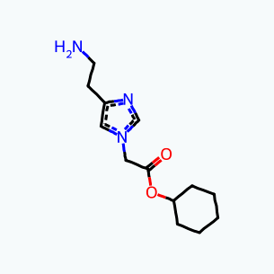 NCCc1cn(CC(=O)OC2CCCCC2)cn1